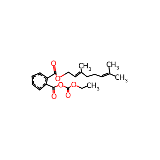 CCOC(=O)OC(=O)c1ccccc1C(=O)OC/C=C(\C)CCC=C(C)C